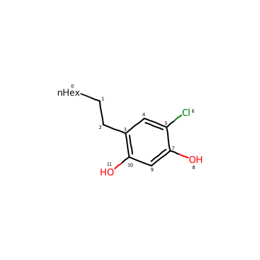 CCCCCCCCc1cc(Cl)c(O)cc1O